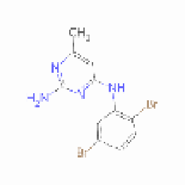 Cc1cc(Nc2cc(Br)ccc2Br)nc(N)n1